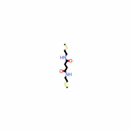 CSCCNC(=O)CCC(=O)NCCSC